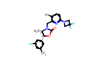 C[C@H]1[C@@H](c2cc(F)cc(C(F)(F)F)c2)OC(=O)N1Cc1nc(N2CC(F)(F)C2)ccc1Br